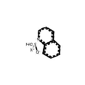 O=S(=O)([O-])O.[K+].c1ccc2ncccc2c1